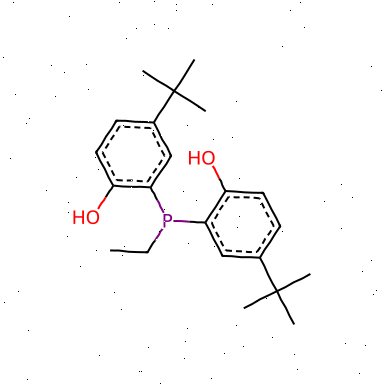 CCP(c1cc(C(C)(C)C)ccc1O)c1cc(C(C)(C)C)ccc1O